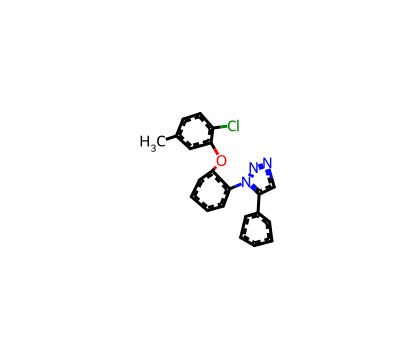 Cc1ccc(Cl)c(Oc2ccccc2-n2nncc2-c2ccccc2)c1